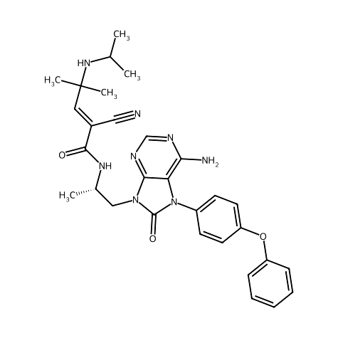 CC(C)NC(C)(C)C=C(C#N)C(=O)N[C@@H](C)Cn1c(=O)n(-c2ccc(Oc3ccccc3)cc2)c2c(N)ncnc21